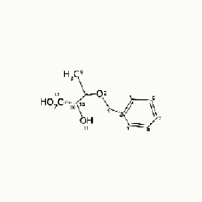 CC(OCc1ccccc1)[C@H](O)C(=O)O